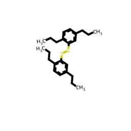 CCCc1ccc(CCC)c(SSc2cc(CCC)ccc2CCC)c1